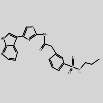 CCCNS(=O)(=O)c1cccc(CC(=O)Nc2nc(-c3c[nH]c4ncccc34)cs2)c1